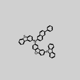 c1ccc(-c2ccc3cc(N(c4ccc5oc6ccc(-n7c8ccccc8c8ccccc87)cc6c5c4)c4ccc5sc6ccccc6c5c4)ccc3c2)cc1